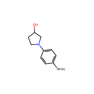 CC(=O)Nc1ccc(N2CCC(O)C2)cc1